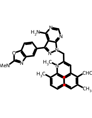 CNc1nc2cc(-c3nn(C/C(=C/c4cccc(C)c4C=O)N(C)c4ccccc4C)c4ncnc(N)c34)ccc2o1